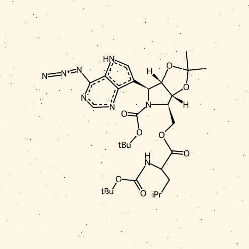 CC(C)CC(NC(=O)OC(C)(C)C)C(=O)OC[C@@H]1[C@H]2OC(C)(C)O[C@H]2[C@H](c2c[nH]c3c(N=[N+]=[N-])ncnc23)N1C(=O)OC(C)(C)C